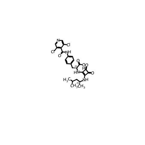 CC(C)C[C@H](C)Nc1c(N[C@@H](Cc2ccc(NC(=O)c3c(Cl)cncc3Cl)cc2)C(=O)O)c(=O)c1=O